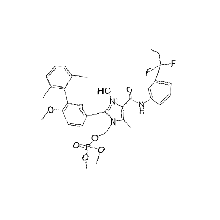 CCC(F)(F)c1cccc(NC(=O)c2c(C)n(COP(=O)(OC)OC)c(-c3ccc(OC)c(-c4c(C)cccc4C)c3)[n+]2O)c1